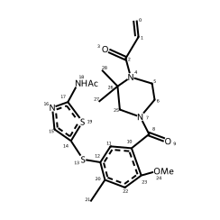 C=CC(=O)N1CCN(C(=O)c2cc(Sc3cnc(NC(C)=O)s3)c(C)cc2OC)CC1(C)C